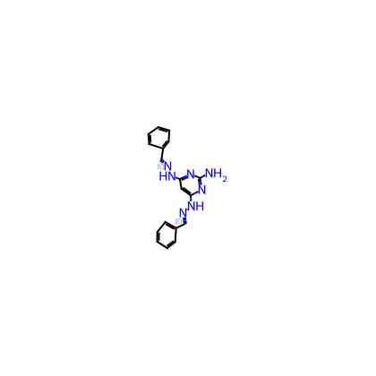 Nc1nc(N/N=C/c2ccccc2)cc(N/N=C/c2ccccc2)n1